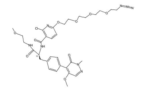 COCCNC(=O)[C@H](Cc1ccc(-c2c(OC)cnn(C)c2=O)cc1)NC(=O)c1ccc(OCCOCCOCCOCCN=[N+]=[N-])nc1Cl